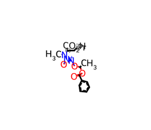 CC(C)C[C@@H](C(=O)O)N(C)[N+]([O-])=NOC(C)OC(=O)c1ccccc1